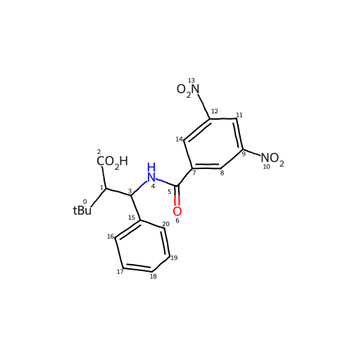 CC(C)(C)C(C(=O)O)C(NC(=O)c1cc([N+](=O)[O-])cc([N+](=O)[O-])c1)c1ccccc1